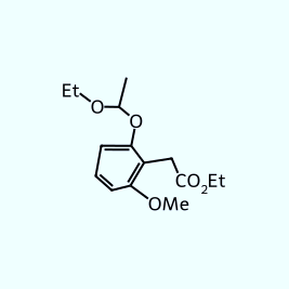 CCOC(=O)Cc1c(OC)cccc1OC(C)OCC